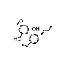 C=CC=C.C=Cc1ccccc1.C=O.Oc1cccc(O)c1